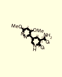 COc1cc(OC)c(-c2c[nH]c(=O)c(C(N)=O)c2)nn1